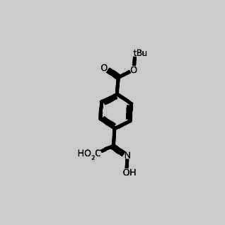 CC(C)(C)OC(=O)c1ccc(/C(=N/O)C(=O)O)cc1